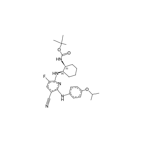 CC(C)Oc1ccc(Nc2nc(N[C@@H]3CCCC[C@@H]3NC(=O)OC(C)(C)C)c(F)cc2C#N)cc1